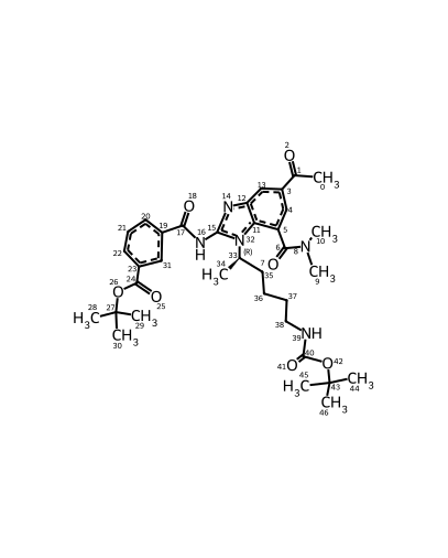 CC(=O)c1cc(C(=O)N(C)C)c2c(c1)nc(NC(=O)c1cccc(C(=O)OC(C)(C)C)c1)n2[C@H](C)CCCCNC(=O)OC(C)(C)C